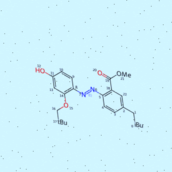 CCC(C)Cc1ccc(/N=N/c2ccc(O)cc2OCC(C)(C)C)c(C(=O)OC)c1